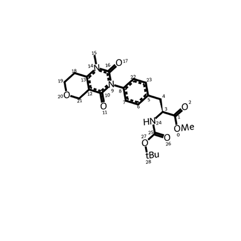 COC(=O)[C@H](Cc1ccc(-n2c(=O)c3c(n(C)c2=O)CCOC3)cc1)NC(=O)OC(C)(C)C